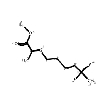 CC(C)OC(=O)C(C)SCCCCC(C)(F)F